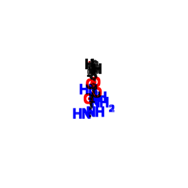 CC(=N)NCCCC(N)C(=O)NCC(=O)NCC(=O)Oc1cc(C)c2c(c1)C[C@@H]1[C@@]3(C)CCCC(C)(C)[C@@H]3CC[C@@]21C